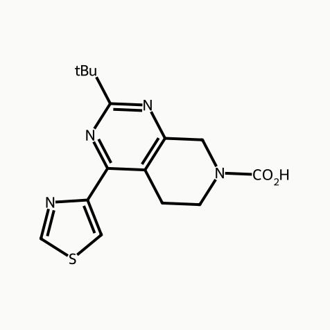 CC(C)(C)c1nc2c(c(-c3cscn3)n1)CCN(C(=O)O)C2